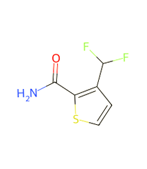 NC(=O)c1sccc1C(F)F